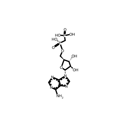 Nc1ncnc2c1ncn2[C@@H]1O[C@@H](CO[P@](=O)(O)CP(=O)(O)O)[C@H](O)[C@H]1O